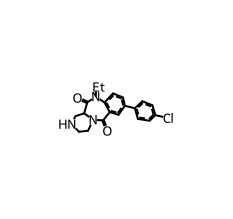 CCN1C(=O)C2CNCCN2C(=O)c2cc(-c3ccc(Cl)cc3)ccc21